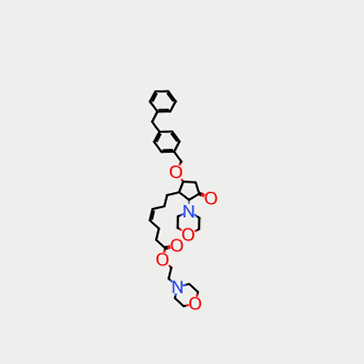 O=C(CC/C=C\CCC1[C@@H](OCc2ccc(Cc3ccccc3)cc2)CC(=O)[C@@H]1N1CCOCC1)OCCN1CCOCC1